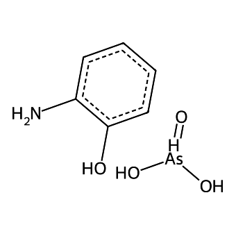 Nc1ccccc1O.O=[AsH](O)O